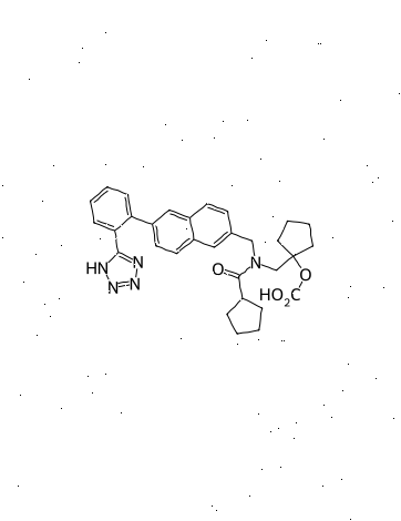 O=C(O)OC1(CN(Cc2ccc3cc(-c4ccccc4-c4nnn[nH]4)ccc3c2)C(=O)C2CCCC2)CCCC1